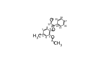 CCOc1cc(C)ccc1O[C@H](C=O)c1ccccc1